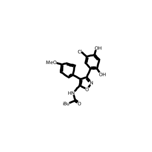 CCC(C)C(=O)Nc1onc(-c2cc(Cl)c(O)cc2O)c1-c1ccc(OC)cc1